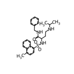 Cc1ccc(S(=O)(=O)NC(CCNC(C)C)C(=O)NCc2ccccc2)c2ccccc12